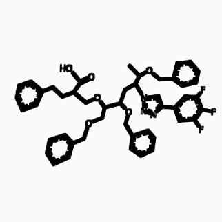 CC(OCc1ccccc1)C(CC(OCc1ccccc1)C(COCc1ccccc1)OCC(CCc1ccccc1)C(=O)O)n1cc(-c2cc(F)c(F)c(F)c2)nn1